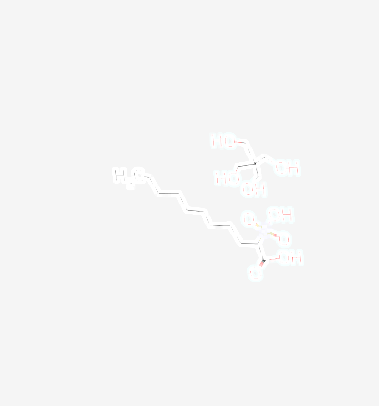 CCCCCCCCCC(C(=O)O)S(=O)(=O)O.OCC(CO)(CO)CO